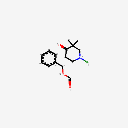 CC1(C)CN(Br)CCC1=O.O=COCc1ccccc1